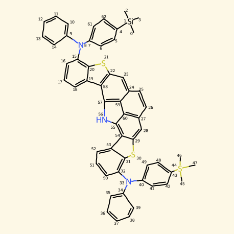 C[Si](C)(C)c1ccc(N(c2ccccc2)c2cccc3c2sc2cc4ccc5cc6sc7c(N(c8ccccc8)c8ccc(S(C)(C)C)cc8)cccc7c6c6[nH]c(c23)c4c56)cc1